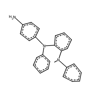 CN(c1ccccc1)c1ccccc1N(c1ccccc1)c1ccc(N)cc1